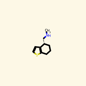 CNC[C@@H]1CCCc2sccc21